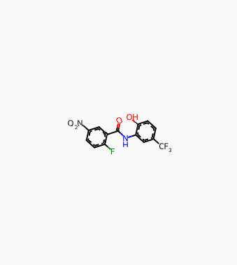 O=C(Nc1cc(C(F)(F)F)ccc1O)c1cc([N+](=O)[O-])ccc1F